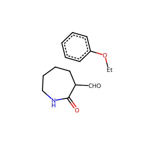 CCOc1ccccc1.O=CC1CCCCNC1=O